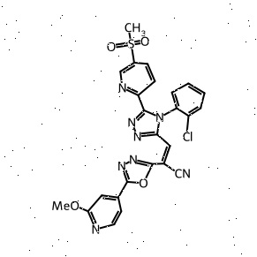 COc1cc(-c2nnc(/C(C#N)=C\c3nnc(-c4ccc(S(C)(=O)=O)cn4)n3-c3ccccc3Cl)o2)ccn1